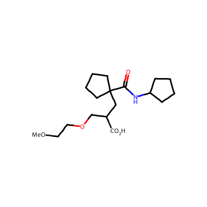 COCCOCC(CC1(C(=O)NC2CCCC2)CCCC1)C(=O)O